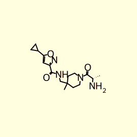 C[C@H](N)C(=O)N1CCC(C)(CNC(=O)c2cc(C3CC3)on2)CC1